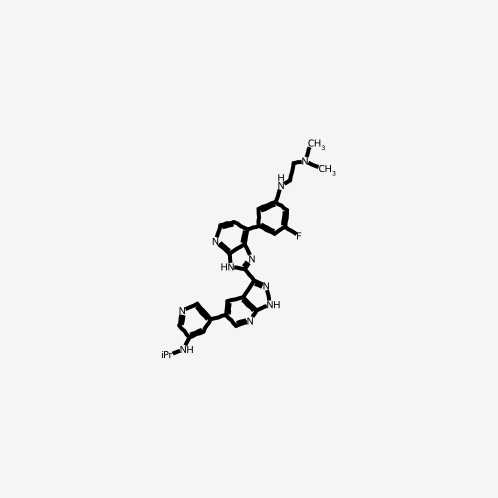 CC(C)Nc1cncc(-c2cnc3[nH]nc(-c4nc5c(-c6cc(F)cc(NCCN(C)C)c6)ccnc5[nH]4)c3c2)c1